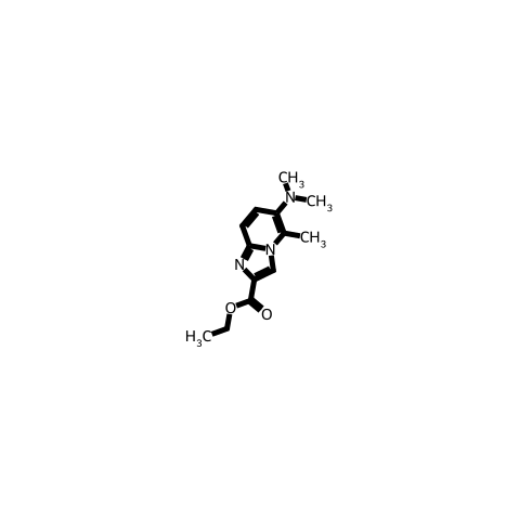 CCOC(=O)c1cn2c(C)c(N(C)C)ccc2n1